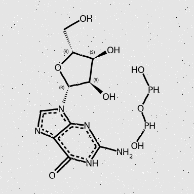 Nc1nc2c(ncn2[C@@H]2O[C@H](CO)[C@@H](O)[C@H]2O)c(=O)[nH]1.OPOPO